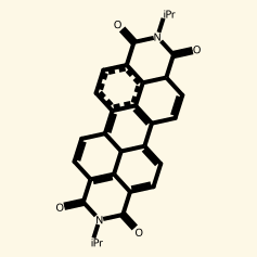 CC(C)N1C(=O)C2=CC=C3C4=c5c6c(ccc5=C5C=CC(=C2C35)C1=O)C(=O)N(C(C)C)C(=O)C6C=C4